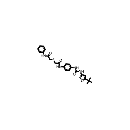 CC(C)(C)c1cc(NC(=O)Nc2ccc(NC(=O)CSCC(=O)Nc3ccccc3)cc2)no1